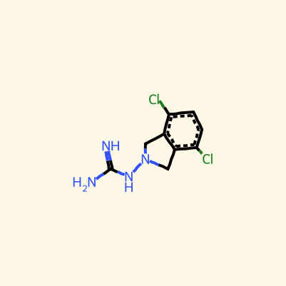 N=C(N)NN1Cc2c(Cl)ccc(Cl)c2C1